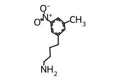 Cc1cc(CCCCN)cc([N+](=O)[O-])c1